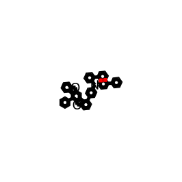 c1ccc(-c2ccc(N(c3ccc(-c4cccc5oc6c(-c7ccccc7)c7c(cc6c45)oc4ccccc47)cc3)c3ccccc3-c3ccccc3)cc2)cc1